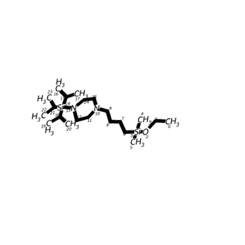 CCO[Si](C)(C)CCCCN1CCN([Si](C(C)C)(C(C)C)C(C)C)CC1